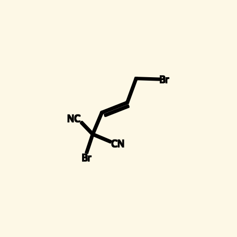 N#CC(Br)(C#N)/C=C/CBr